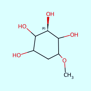 COC1CC(O)C(O)[C@@H](O)C1O